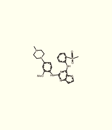 COc1cc(N2CCN(C)CC2)ccc1Nc1nc(Nc2ccccc2S(C)(=O)=O)c2sccc2n1